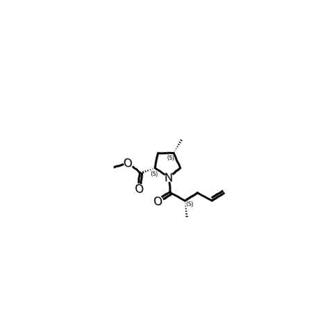 C=CC[C@H](C)C(=O)N1C[C@@H](C)C[C@H]1C(=O)OC